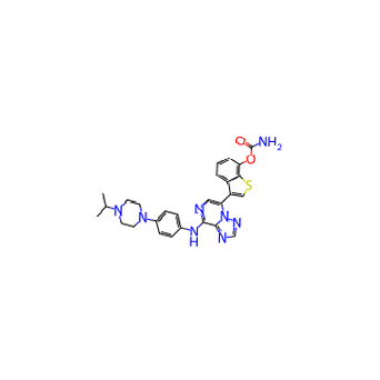 CC(C)N1CCN(c2ccc(Nc3ncc(-c4csc5c(OC(N)=O)cccc45)n4ncnc34)cc2)CC1